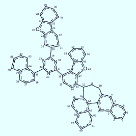 c1ccc2cc3c(cc2c1)CCC(c1ccc(-c2nc(-c4ccc5c(c4)oc4ccccc45)nc(-c4cccc5ccccc45)n2)c2c1oc1ccccc12)c1ccc2ccccc2c1-3